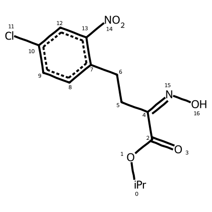 CC(C)OC(=O)C(CCc1ccc(Cl)cc1[N+](=O)[O-])=NO